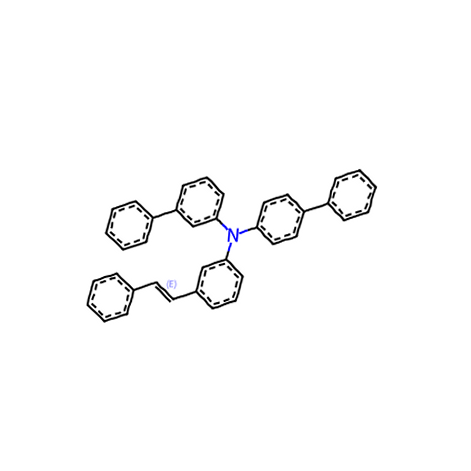 C(=C\c1cccc(N(c2ccc(-c3ccccc3)cc2)c2cccc(-c3ccccc3)c2)c1)/c1ccccc1